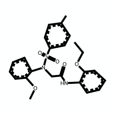 CCOc1ccccc1NC(=O)CN(c1ccccc1OC)S(=O)(=O)c1ccc(C)cc1